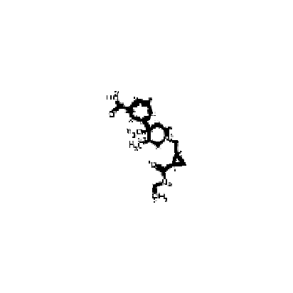 CCOC(=O)C1CC1CN1CCC(C)(c2cccc(C(=O)O)c2)C(C)C1